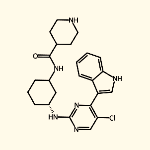 O=C(NC1CCC[C@@H](Nc2ncc(Cl)c(-c3c[nH]c4ccccc34)n2)C1)C1CCNCC1